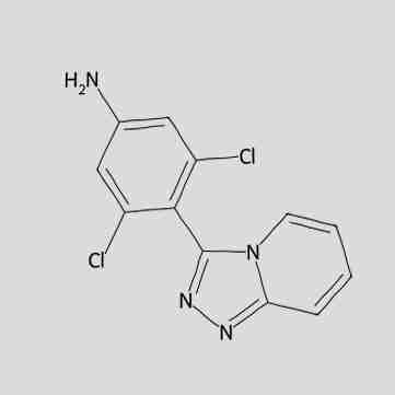 Nc1cc(Cl)c(-c2nnc3ccccn23)c(Cl)c1